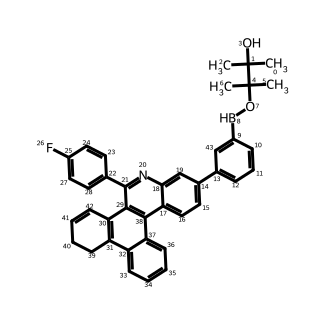 CC(C)(O)C(C)(C)OBc1cccc(-c2ccc3c(c2)nc(-c2ccc(F)cc2)c2c4c(c5ccccc5c23)CCC=C4)c1